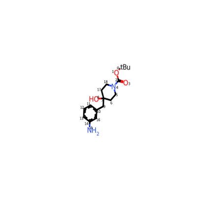 CC(C)(C)OC(=O)N1CCC(O)(Cc2cccc(N)c2)CC1